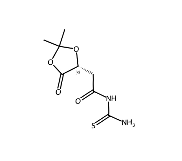 CC1(C)OC(=O)[C@@H](CC(=O)NC(N)=S)O1